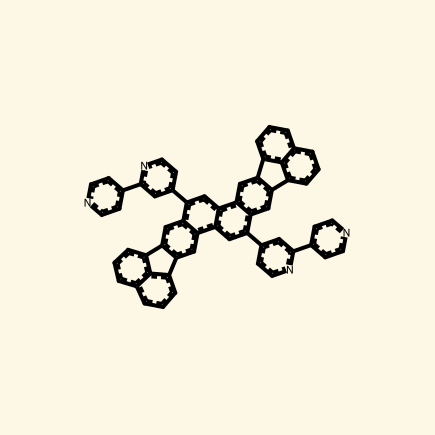 c1cc2c3c(cccc3c1)-c1cc3c(cc1-2)c(-c1ccnc(-c2ccncc2)c1)cc1c2cc4c(cc2c(-c2ccnc(-c5ccncc5)c2)cc31)-c1cccc2cccc-4c12